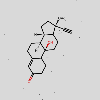 C#C[C@@]1(OC(C)=O)CC[C@H]2[C@@H]3CCC4=CC(=O)CC[C@]4(C)[C@@]3(O)CC[C@@]21C